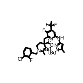 Cc1cc(Nc2cc(C(C)(F)F)c(F)c(CC3(C(=O)OC(C)(C)C)CCN(Cc4cccc(Cl)c4F)C(C)C3)n2)nn1C(C)(C)C